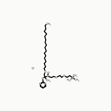 CCCCCCCCCCCCCCCCCCOCC(C)(Oc1ncccn1)[S+]([O-])CCOCCOCC[N+](C)(C)C.[Cl-]